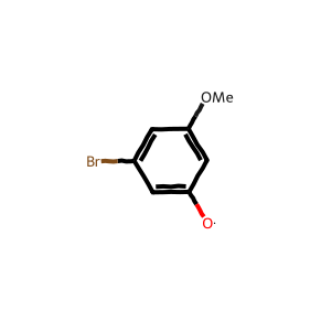 COc1cc([O])cc(Br)c1